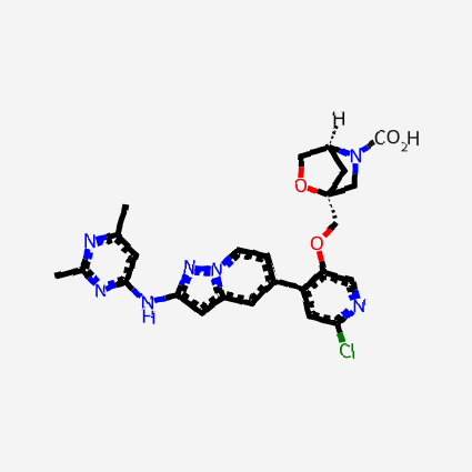 Cc1cc(Nc2cc3cc(-c4cc(Cl)ncc4OC[C@@]45C[C@@H](CO4)N(C(=O)O)C5)ccn3n2)nc(C)n1